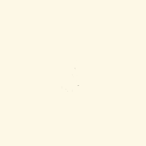 CC[C@]12C=CCC=C1CC[C@H]1[C@@H]3CC[C@H](CCSCCO)[C@@]3(C)CC[C@@]12F